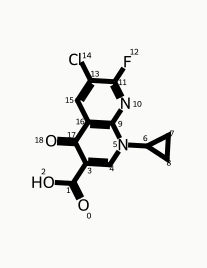 O=C(O)c1cn(C2CC2)c2nc(F)c(Cl)cc2c1=O